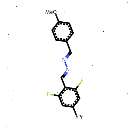 CCCc1cc(F)c(C=NN=Cc2ccc(OC)cc2)c(F)c1